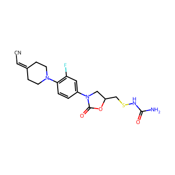 N#CC=C1CCN(c2ccc(N3CC(CSNC(N)=O)OC3=O)cc2F)CC1